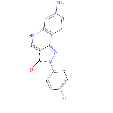 Nc1ccc2c3nn(-c4ccc(Cl)cc4)c(=O)c-3c[nH]c2c1